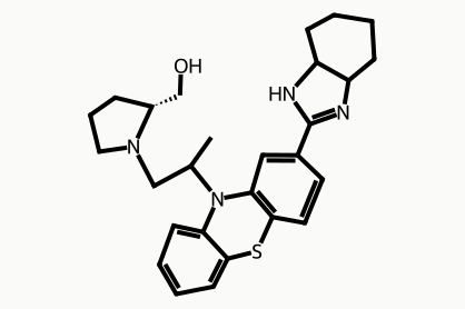 CC(CN1CCC[C@@H]1CO)N1c2ccccc2Sc2ccc(C3=NC4CCCCC4N3)cc21